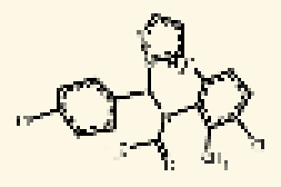 CC(=O)N(c1c(C)ccc(Cl)c1C)C(c1ccc(Cl)cc1)n1cccn1